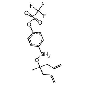 C=CCC(C)(CC=C)O[SiH2]c1ccc(OS(=O)(=O)C(F)(F)F)cc1